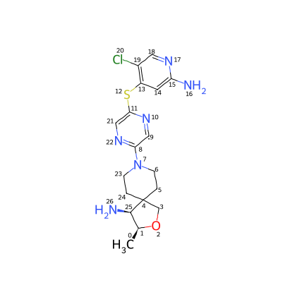 C[C@@H]1OCC2(CCN(c3[c]nc(Sc4cc(N)ncc4Cl)cn3)CC2)[C@@H]1N